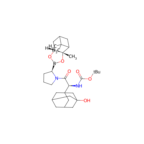 CC(C)(C)OC(=O)N[C@H](C(=O)N1CCC[C@H]1B1O[C@@H]2CC3CC(C3(C)C)[C@]2(C)O1)C12CC3CC(CC(O)(C3)C1)C2